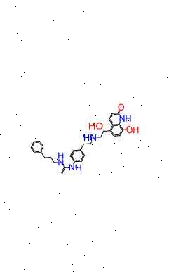 C=C(NCCCc1ccccc1)Nc1ccc(CCNC[C@H](O)c2ccc(O)c3[nH]c(=O)ccc23)cc1